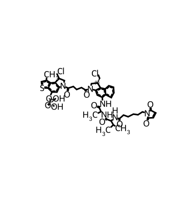 Cc1csc2c(OP(=O)(O)O)cc3c(c12)C(CCl)CN3C(=O)CCCC(=O)N1C[C@@H](CCl)c2c1cc(NC(=O)C(C)NC(=O)C(NC(=O)CCCCCN1C(=O)C=CC1=O)C(C)C)c1ccccc21